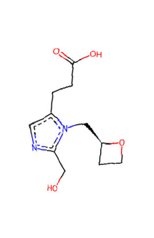 O=C(O)CCc1cnc(CO)n1C[C@@H]1CCO1